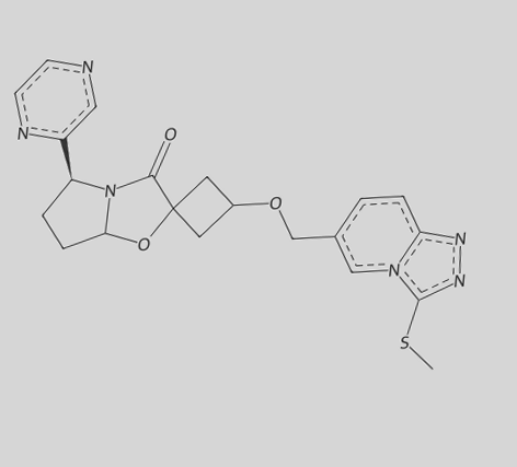 CSc1nnc2ccc(COC3CC4(C3)OC3CC[C@@H](c5cnccn5)N3C4=O)cn12